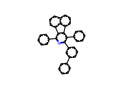 c1ccc(-c2cccc(-c3nc(-c4ccccc4)c4c(c3-c3ccccc3)-c3cccc5cccc-4c35)c2)cc1